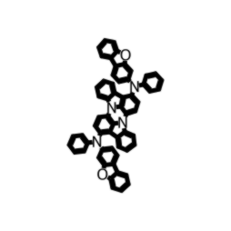 c1ccc(N(c2ccc3c(c2)oc2ccccc23)c2ccc3c4c2c2ccccc2n4c2ccc(N(c4ccccc4)c4ccc5c(c4)oc4ccccc45)c4c5ccccc5n3c42)cc1